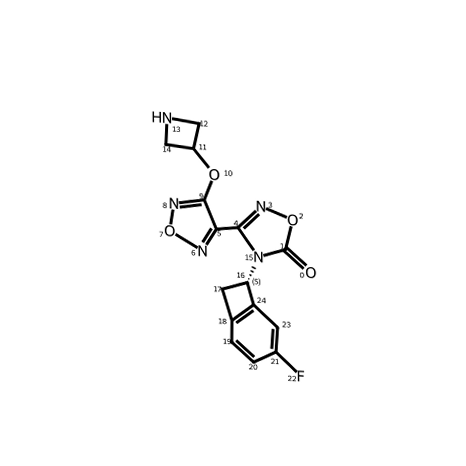 O=c1onc(-c2nonc2OC2CNC2)n1[C@H]1Cc2ccc(F)cc21